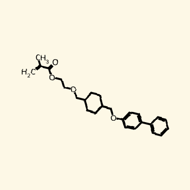 C=C(C)C(=O)OCCOCC1CCC(COc2ccc(-c3ccccc3)cc2)CC1